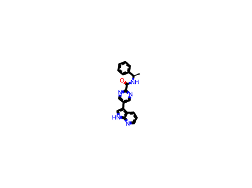 C[C@@H](NC(=O)c1ncc(-c2c[nH]c3ncccc23)cn1)c1ccccc1